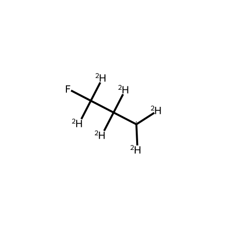 [2H][C]([2H])C([2H])([2H])C([2H])([2H])F